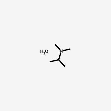 CC(C)N(C)C.O